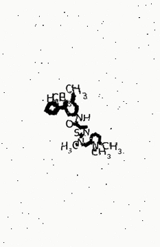 C/C=C(/CC(CCCC)NC(=O)c1cnc(N(C)CC2CCCC(C)N2C)s1)c1ccccc1C